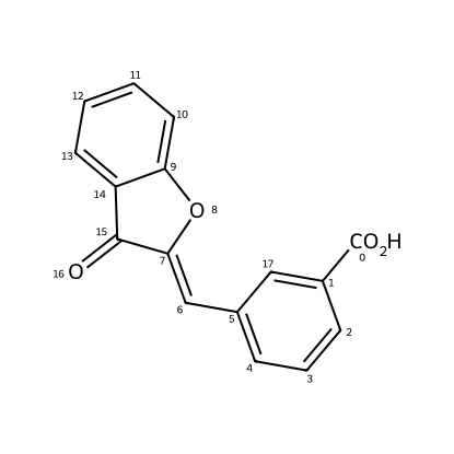 O=C(O)c1cccc(/C=C2\Oc3ccccc3C2=O)c1